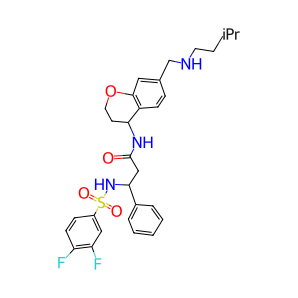 CC(C)CCNCc1ccc2c(c1)OCCC2NC(=O)CC(NS(=O)(=O)c1ccc(F)c(F)c1)c1ccccc1